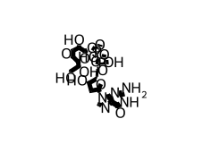 Nc1nc2c(ncn2C2C[C@H](O)[C@@H](COP(=O)(O)OP(=O)(O)OC3OC([C@@H](O)CO)C4OC4C3O)O2)c(=O)[nH]1